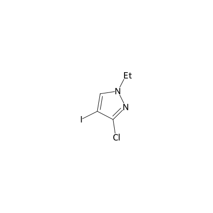 CCn1cc(I)c(Cl)n1